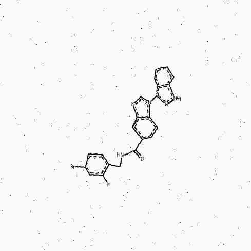 O=C(NCc1ccc(Br)cc1F)c1ccc2c(c1)ncn2-c1n[nH]c2ccccc12